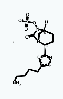 NCCCCc1nnc([C@@H]2CC[C@@H]3CN2C(=O)N3OS(=O)(=O)[O-])o1.[H+]